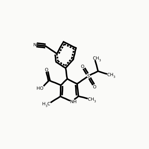 CC1=C(C(=O)O)C(c2cccc(C#N)c2)C(S(=O)(=O)C(C)C)=C(C)N1